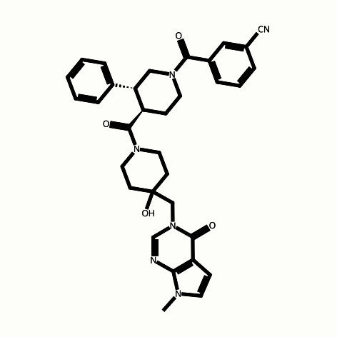 Cn1ccc2c(=O)n(CC3(O)CCN(C(=O)[C@@H]4CCN(C(=O)c5cccc(C#N)c5)C[C@H]4c4ccccc4)CC3)cnc21